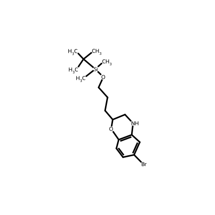 CC(C)(C)[Si](C)(C)OCCCC1CNc2cc(Br)ccc2O1